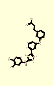 O=C(O)CCc1cccc(Oc2cccc(-c3nnc(Nc4ccc(Cl)c(Cl)c4)s3)c2)c1